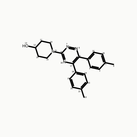 Cc1ccc(-c2nnc(N3CCC(O)CC3)nc2-c2ccc(C)cc2)cc1